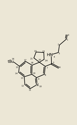 C=CCCNC(=C)C1=Cc2nccc3cc(C(C)(C)C)cc(c23)C12CCCC2